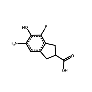 Nc1cc2c(c(F)c1O)CC(C(=O)O)C2